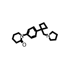 O=C1CCCCN1c1ccc(C2(CN3CCCC3)CCC2)cc1